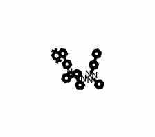 CC1(C)CCC(C)(C)c2c(-c3ccc(-n4c5ccccc5c5c6c7ccccc7n(-c7nc(-c8ccccc8)nc(-c8ccc(-c9ccccc9)cc8)n7)c6ccc54)cc3)cccc21